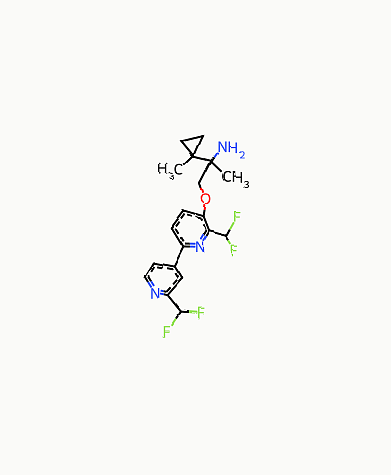 CC(N)(COc1ccc(-c2ccnc(C(F)F)c2)nc1C(F)F)C1(C)CC1